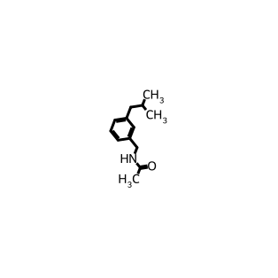 CC(=O)NCc1cccc(CC(C)C)c1